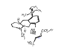 COc1ccc([Si](C)(C)C)c2c1C[C@@H]1[C@H](CCCN1C)C2.O=C(O)/C=C/C(=O)O